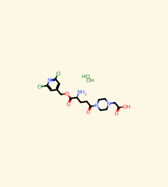 Cl.Cl.N[C@@H](CCC(=O)N1CCN(CC(=O)O)CC1)C(=O)OCc1cc(Cl)nc(Cl)c1